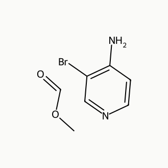 COC=O.Nc1ccncc1Br